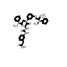 Cc1ccccc1N(C)C(=O)COc1cccc(N(CC(=O)N(C)c2ccccc2)C(=O)CNC(=O)Nc2cccc(CC(=O)O)c2)c1